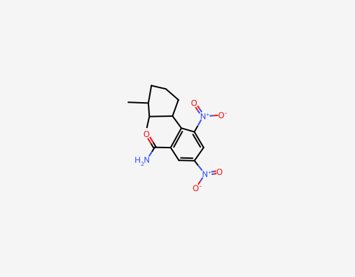 CC1CCCC(c2c(C(N)=O)cc([N+](=O)[O-])cc2[N+](=O)[O-])C1C